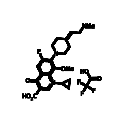 CNCC=C1CCN(c2c(F)cc3c(=O)c(C(=O)O)cn(C4CC4)c3c2OC)CC1.O=C(O)C(F)(F)F